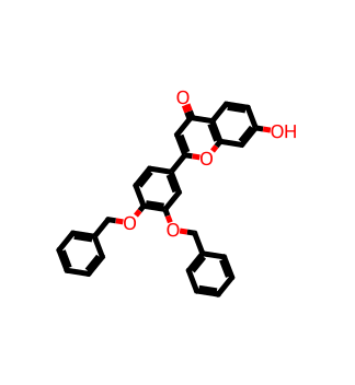 O=c1cc(-c2ccc(OCc3ccccc3)c(OCc3ccccc3)c2)oc2cc(O)ccc12